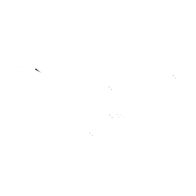 CCOC(=O)[C@H]1CCc2c(sc3ncnc(Nc4cc5s[nH]c5cc4OC)c23)C1